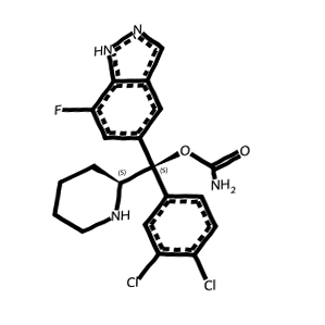 NC(=O)O[C@](c1ccc(Cl)c(Cl)c1)(c1cc(F)c2[nH]ncc2c1)[C@@H]1CCCCN1